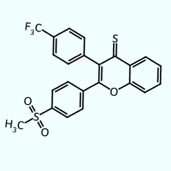 CS(=O)(=O)c1ccc(-c2oc3ccccc3c(=S)c2-c2ccc(C(F)(F)F)cc2)cc1